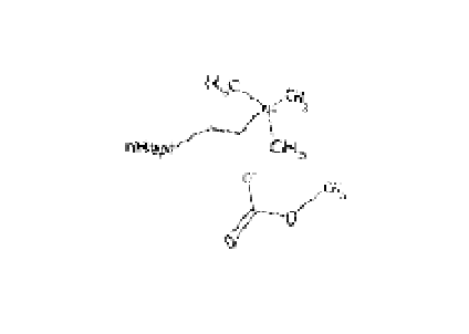 CCCCCCCCC[N+](C)(C)C.COC(=O)[O-]